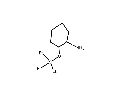 CC[Si](CC)(CC)OC1CCCCC1N